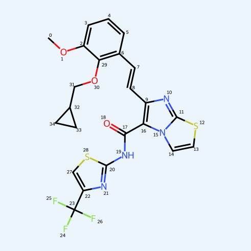 COc1cccc(C=Cc2nc3sccn3c2C(=O)Nc2nc(C(F)(F)F)cs2)c1OCC1CC1